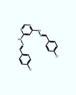 Clc1ccc(/C=N/Nc2cc(N/N=C/c3ccc(Cl)cc3)ncn2)cc1